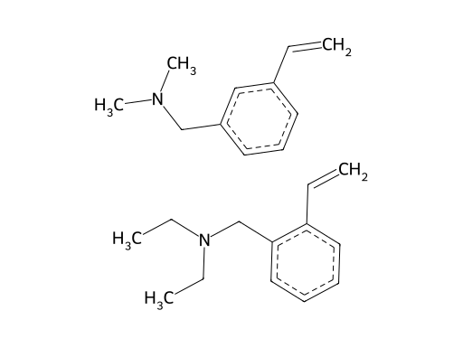 C=Cc1cccc(CN(C)C)c1.C=Cc1ccccc1CN(CC)CC